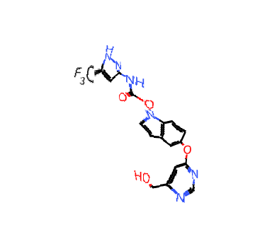 O=C(Nc1cc(C(F)(F)F)[nH]n1)On1ccc2cc(Oc3cc(CO)ncn3)ccc21